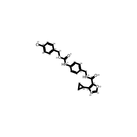 O=C(Nc1ccc(CNC(=O)c2ocnc2C2CC2)cc1)OCc1ccc(Cl)cc1